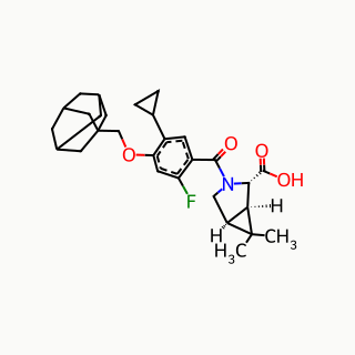 CC1(C)[C@@H]2[C@@H](C(=O)O)N(C(=O)c3cc(C4CC4)c(OCC45CC6CC(CC(C6)C4)C5)cc3F)C[C@@H]21